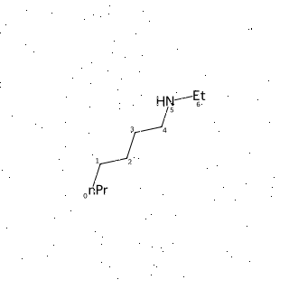 CCCCCCCNCC